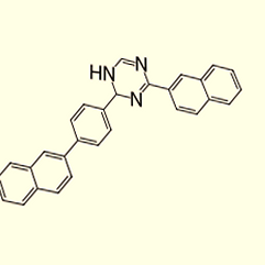 C1=NC(c2ccc3ccccc3c2)=NC(c2ccc(-c3ccc4ccccc4c3)cc2)N1